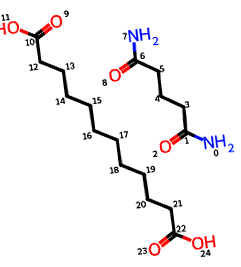 NC(=O)CCCC(N)=O.O=C(O)CCCCCCCCCCC(=O)O